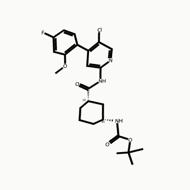 COc1cc(F)ccc1-c1cc(NC(=O)[C@H]2CCC[C@@H](NC(=O)OC(C)(C)C)C2)ncc1Cl